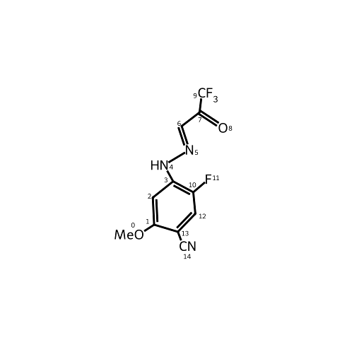 COc1cc(NN=CC(=O)C(F)(F)F)c(F)cc1C#N